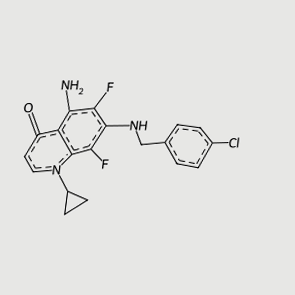 Nc1c(F)c(NCc2ccc(Cl)cc2)c(F)c2c1c(=O)ccn2C1CC1